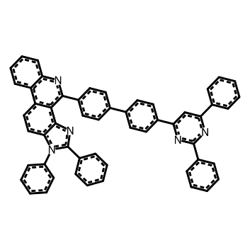 c1ccc(-c2cc(-c3ccc(-c4ccc(-c5nc6ccccc6c6ccc7c(nc(-c8ccccc8)n7-c7ccccc7)c56)cc4)cc3)nc(-c3ccccc3)n2)cc1